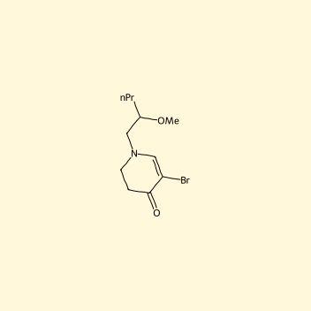 CCCC(CN1C=C(Br)C(=O)CC1)OC